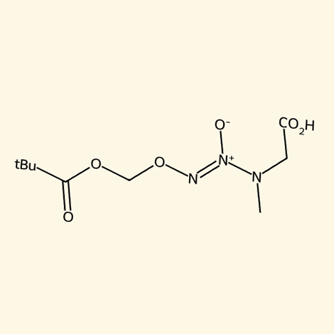 CN(CC(=O)O)[N+]([O-])=NOCOC(=O)C(C)(C)C